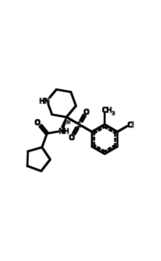 Cc1c(Cl)cccc1S(=O)(=O)[C@@]1(NC(=O)C2CCCC2)CCCNC1